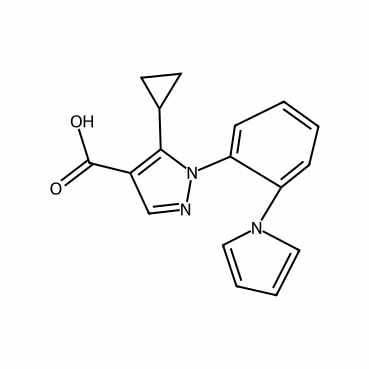 O=C(O)c1cnn(-c2ccccc2-n2cccc2)c1C1CC1